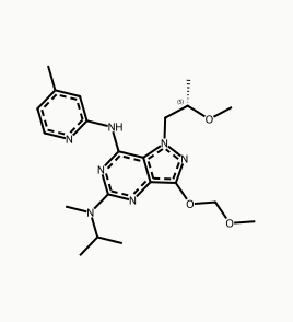 COCOc1nn(C[C@H](C)OC)c2c(Nc3cc(C)ccn3)nc(N(C)C(C)C)nc12